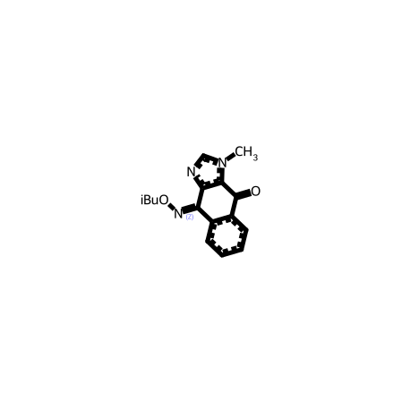 CC(C)CO/N=C1/c2ccccc2C(=O)c2c1ncn2C